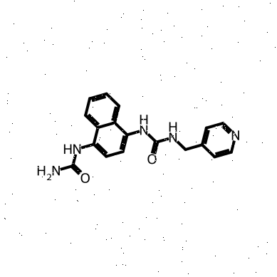 NC(=O)Nc1ccc(NC(=O)NCc2ccncc2)c2ccccc12